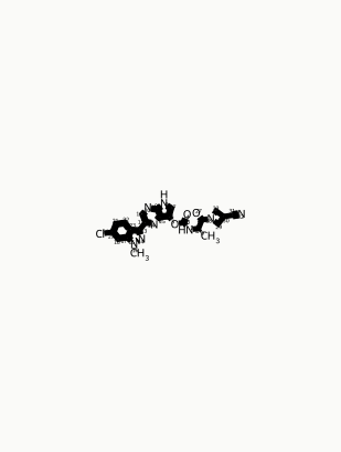 C[C@@H](NC(=O)Oc1c[nH]c2ncc(-c3nn(C)c4cc(Cl)ccc34)nc12)C(=O)N1CC(C#N)C1